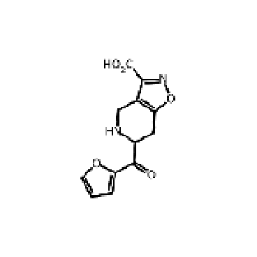 O=C(O)c1noc2c1CNC(C(=O)c1ccco1)C2